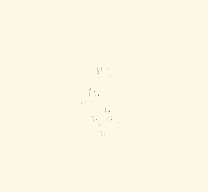 O=C(c1nc2ncccn2n1)N1CC[C@H](c2ccccc2)[C@H]2CCCC[C@H]21